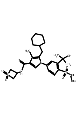 Cc1c(C(=O)NC2CS(=O)(=O)C2)cn(-c2ccc(S(=O)(=O)NC(C)(C)C)c(C(C)(C)O)c2)c1CC1CCCCC1